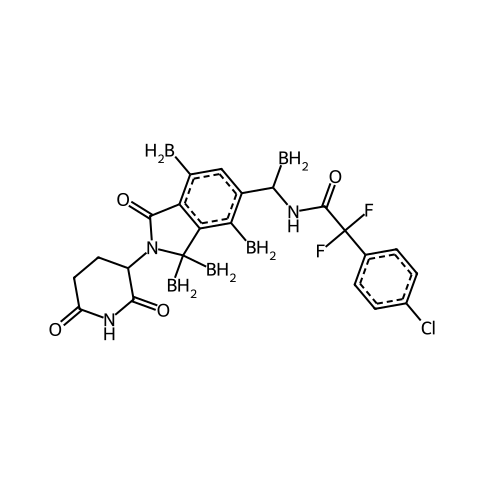 Bc1cc(C(B)NC(=O)C(F)(F)c2ccc(Cl)cc2)c(B)c2c1C(=O)N(C1CCC(=O)NC1=O)C2(B)B